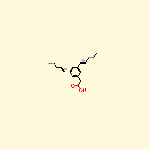 CCC/C=C/c1cc(/C=C/CCC)cc(CC(=O)O)c1